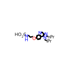 CCCc1nc2cnc3cc(OCCCNC(=O)O)ccc3c2n1CC(C)C